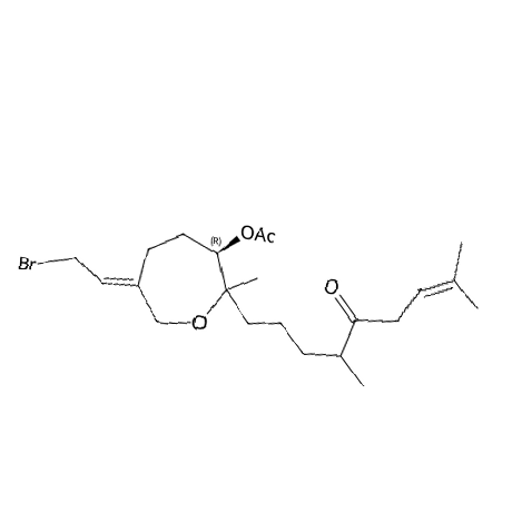 CC(=O)O[C@@H]1CCC(=CCBr)COC1(C)CCCC(C)C(=O)CC=C(C)C